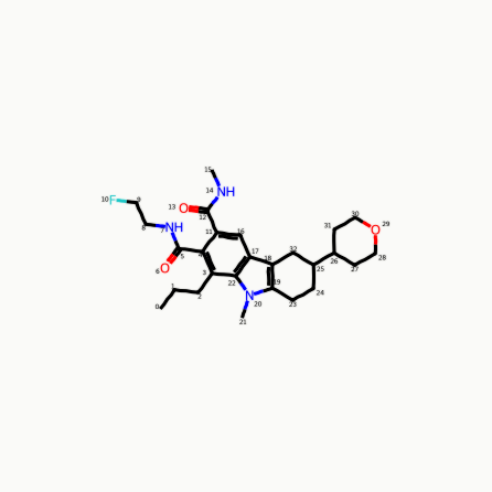 CCCc1c(C(=O)NCCF)c(C(=O)NC)cc2c3c(n(C)c12)CCC(C1CCOCC1)C3